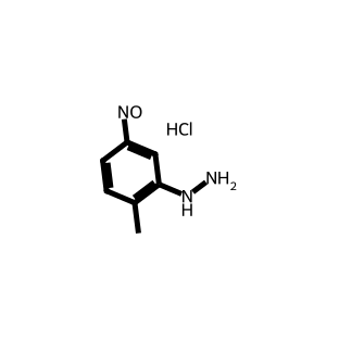 Cc1ccc(N=O)cc1NN.Cl